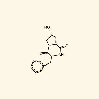 O=C1N[C@@H](Cc2ccccc2)C(=O)N2C[C@H](O)C=C12